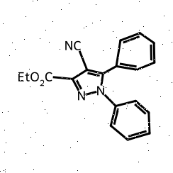 CCOC(=O)c1nn(-c2ccccc2)c(-c2ccccc2)c1C#N